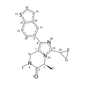 C[C@H]1C(=O)N(C)Cc2c(-c3ccc4sccc4c3)nc(C3CC3)n21